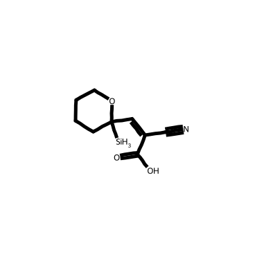 N#CC(=CC1([SiH3])CCCCO1)C(=O)O